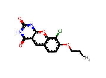 CCCOc1ccc2cc3c(=O)[nH]c(=O)nc-3oc2c1Cl